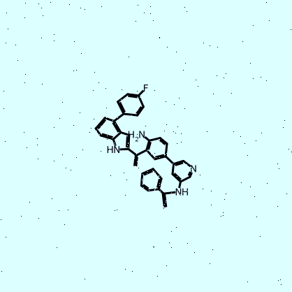 C=C(Nc1cncc(-c2ccc(N)c(C(=C)c3cc4c(-c5ccc(F)cc5)cccc4[nH]3)c2)c1)c1ccccc1